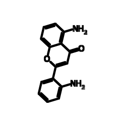 Nc1ccccc1-c1cc(=O)c2c(N)cccc2o1